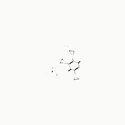 COS(=O)(=O)ON.O=C1C=C(N2CC2)C(=O)C(N2CC2)=C1N1CC1.[NaH].[NaH].[NaH]